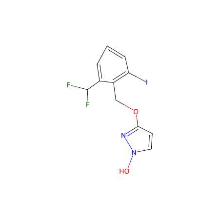 On1ccc(OCc2c(I)cccc2C(F)F)n1